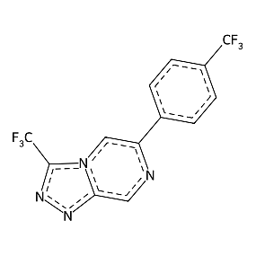 FC(F)(F)c1ccc(-c2cn3c(C(F)(F)F)nnc3cn2)cc1